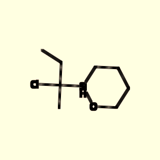 CCC(C)(Cl)[SiH]1CCCCO1